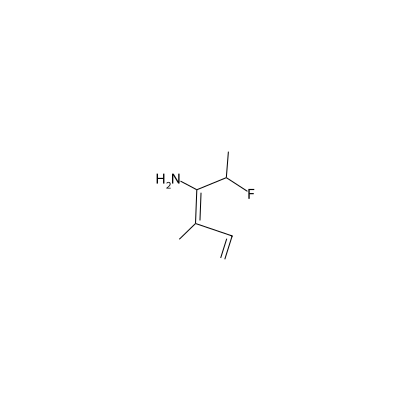 C=C/C(C)=C(/N)C(C)F